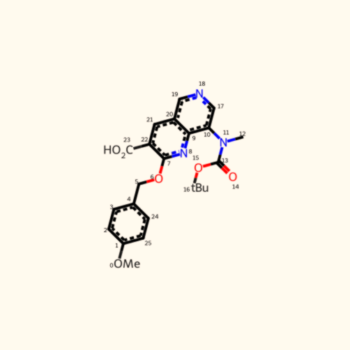 COc1ccc(COc2nc3c(N(C)C(=O)OC(C)(C)C)cncc3cc2C(=O)O)cc1